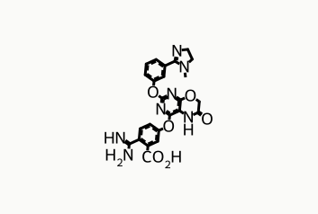 CN1CCN=C1c1cccc(Oc2nc3c(c(Oc4ccc(C(=N)N)c(C(=O)O)c4)n2)NC(=O)CO3)c1